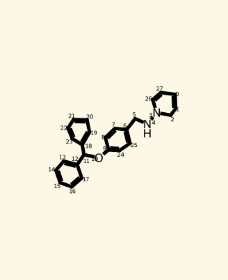 C1=CCN(NCc2ccc(OC(c3ccccc3)c3ccccc3)cc2)C=C1